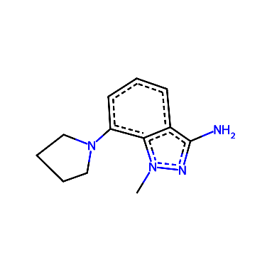 Cn1nc(N)c2cccc(N3CCCC3)c21